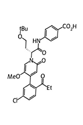 CCC(=O)c1ccc(Cl)cc1-c1cc(=O)n([C@H](CCOC(C)(C)C)C(=O)Nc2ccc(C(=O)O)cc2)cc1OC